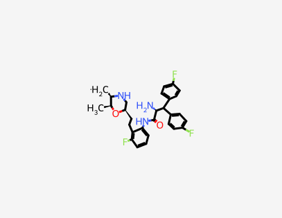 [CH2][C@H]1NC[C@@H](CCc2c(F)cccc2NC(=O)[C@@H](N)C(c2ccc(F)cc2)c2ccc(F)cc2)O[C@H]1C